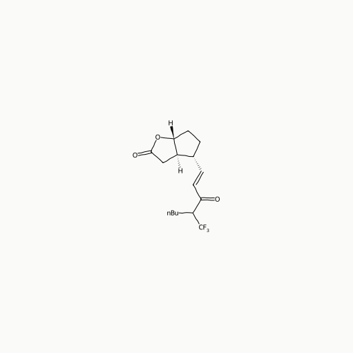 CCCCC(C(=O)C=C[C@H]1CC[C@H]2OC(=O)C[C@H]12)C(F)(F)F